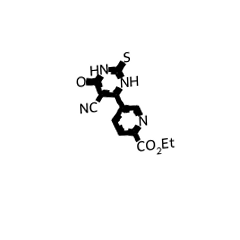 CCOC(=O)c1ccc(-c2[nH]c(=S)[nH]c(=O)c2C#N)cn1